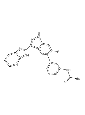 CC(C)(C)C(=O)Nc1cncc(-c2cc3c(-c4nc5cccnc5[nH]4)n[nH]c3cc2F)c1